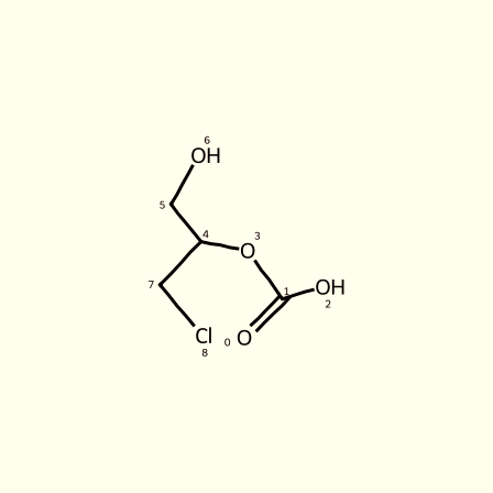 O=C(O)OC(CO)CCl